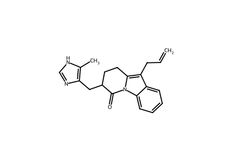 C=CCc1c2n(c3ccccc13)C(=O)C(Cc1nc[nH]c1C)CC2